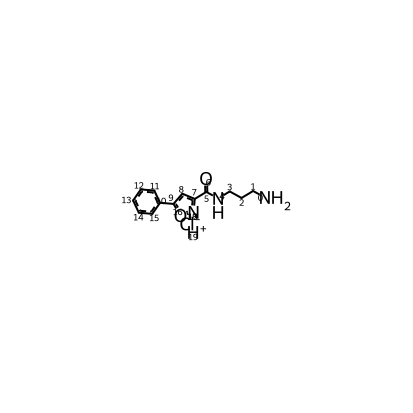 NCCCNC(=O)c1cc(-c2ccccc2)on1.[Cl-].[H+]